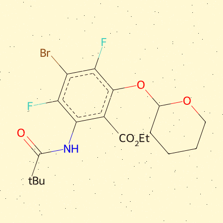 CCOC(=O)c1c(NC(=O)C(C)(C)C)c(F)c(Br)c(F)c1OC1CCCCO1